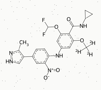 [2H]C([2H])([2H])Oc1cc(Nc2ccc(-c3c[nH]nc3C)cc2[N+](=O)[O-])cc(OC(F)F)c1C(=O)NC1CC1